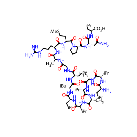 CC[C@H](C)[C@H](NC(=O)[C@H](CC(C)C)NC(=O)[C@@H](NC(=O)[C@H](C)NC(=O)[C@@H](NC(=O)[C@H](C)NC(=O)[C@@H](NC(=O)[C@@H](N)CC(C)C)C(C)C)C(C)C)C(C)C)C(=O)N[C@@H](CC(C)C)C(=O)NCC(=O)N[C@@H](C)C(=O)N[C@@H](CCCNC(=N)N)C(=O)N[C@@H](CCSC)C(=O)N1CCC[C@H]1C(=O)N[C@@H](CC(N)=O)C(=O)N[C@@H](CC(C)C)C(=O)O